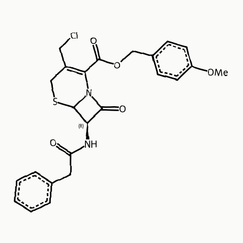 COc1ccc(COC(=O)C2=C(CCl)CSC3[C@H](NC(=O)Cc4ccccc4)C(=O)N23)cc1